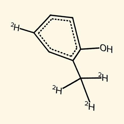 [2H]c1ccc(O)c(C([2H])([2H])[2H])c1